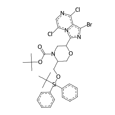 CC(C)(C)OC(=O)N1CC(c2nc(Br)c3c(Cl)ncc(Cl)n23)OCC1CO[Si](c1ccccc1)(c1ccccc1)C(C)(C)C